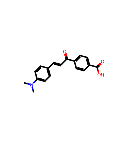 CN(C)c1ccc(C=CC(=O)c2ccc(C(=O)O)cc2)cc1